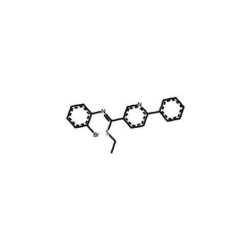 CCSC(=Nc1ccccc1Br)c1ccc(-c2ccccc2)nc1